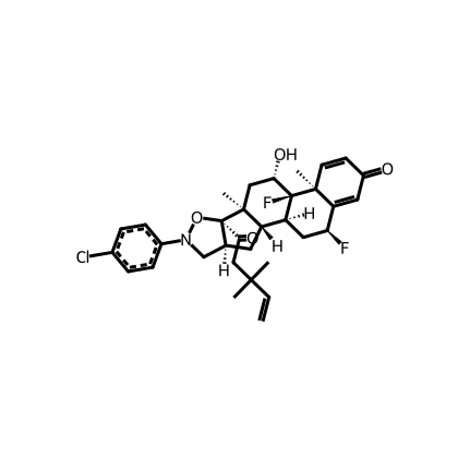 C=CC(C)(C)CC(=O)[C@@]12ON(c3ccc(Cl)cc3)C[C@@H]1C[C@H]1[C@@H]3C[C@H](F)C4=CC(=O)C=C[C@]4(C)[C@@]3(F)[C@@H](O)C[C@@]12C